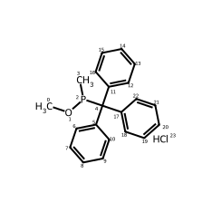 COP(C)C(c1ccccc1)(c1ccccc1)c1ccccc1.Cl